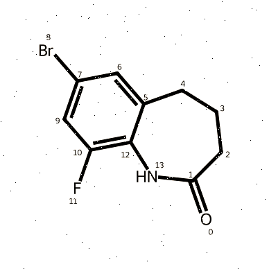 O=C1CCCc2cc(Br)cc(F)c2N1